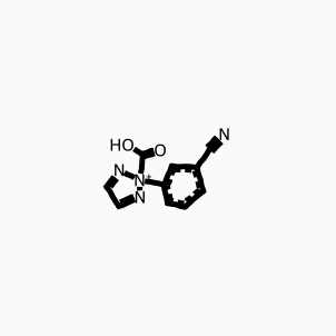 N#Cc1cccc([N+]2(C(=O)O)N=CC=N2)c1